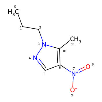 C[CH]Cn1ncc([N+](=O)[O-])c1C